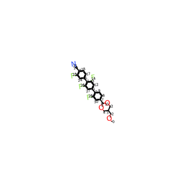 COCC1COC(c2ccc(-c3cc(F)c(-c4ccc(C#N)c(F)c4)c(F)c3)c(F)c2)OC1